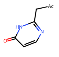 CC(=O)Cc1nccc(=O)[nH]1